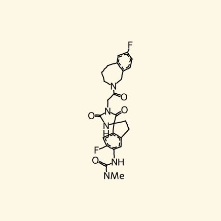 CNC(=O)Nc1cc2c(cc1F)C1(CC2)NC(=O)N(CC(=O)N2CCCc3cc(F)ccc3C2)C1=O